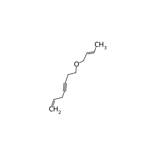 C=CCC#CCCOC/C=C/C